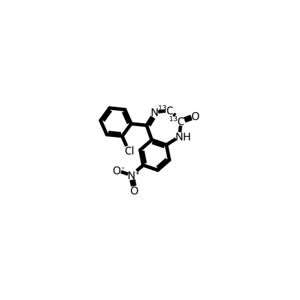 O=[13C]1[13CH2]N=C(c2ccccc2Cl)c2cc([N+](=O)[O-])ccc2N1